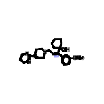 COc1cccc(/C(=C/CN2CCN(c3ncccn3)CC2)C2(O)CCCCC2)c1